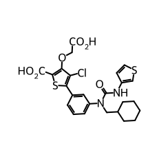 O=C(O)COc1c(C(=O)O)sc(-c2cccc(N(CC3CCCCC3)C(=O)Nc3ccsc3)c2)c1Cl